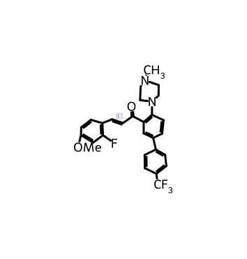 COc1ccc(/C=C/C(=O)c2cc(-c3ccc(C(F)(F)F)cc3)ccc2N2CCN(C)CC2)c(F)c1